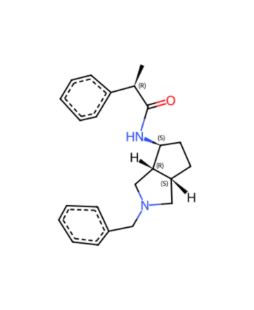 C[C@@H](C(=O)N[C@H]1CC[C@@H]2CN(Cc3ccccc3)C[C@@H]21)c1ccccc1